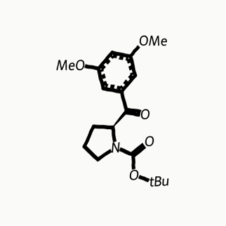 COc1cc(OC)cc(C(=O)[C@@H]2CCCN2C(=O)OC(C)(C)C)c1